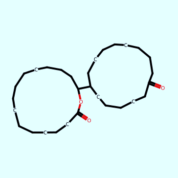 O=C1CCCCCCCCC(C2CCCCCCCCCCCCCC(=O)O2)CCCCC1